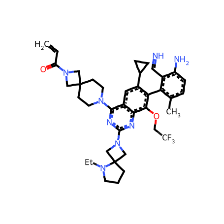 C=CC(=O)N1CC2(CCN(c3nc(N4CC5(CCCN5CC)C4)nc4c(OCC(F)(F)F)c(-c5c(C)ccc(N)c5C=N)c(C5CC5)cc34)CC2)C1